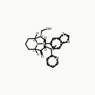 C[C@@H](c1ccccn1)N1C[C@H](CO)[C@H]2CCC[C@@H](C1=O)N2S(=O)(=O)c1ccc2ncsc2c1